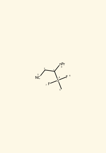 CCCC(CC#N)S(C)(F)F